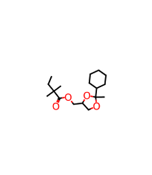 CCC(C)(C)C(=O)OCC1COC(C)(C2CCCCC2)O1